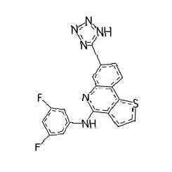 Fc1cc(F)cc(Nc2nc3cc(-c4nnn[nH]4)ccc3c3sccc23)c1